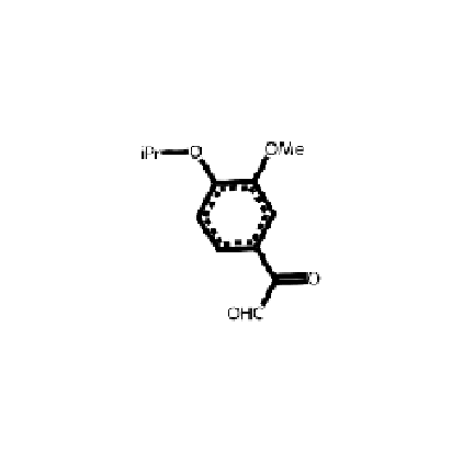 COc1cc(C(=O)C=O)ccc1OC(C)C